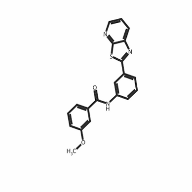 COc1cccc(C(=O)Nc2cccc(-c3nc4cccnc4s3)c2)c1